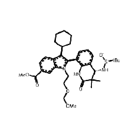 COCOCCn1c(-c2cccc3c2NC(=O)C(C)(C)[C@H]3N[S+]([O-])C(C)(C)C)c(C2CCCCC2)c2ccc(C(=O)OC)cc21